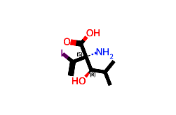 C=C(I)[C@@](N)(C(=O)O)[C@H](O)C(C)C